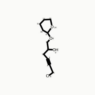 OC(CC#CCCl)COC1CCCCO1